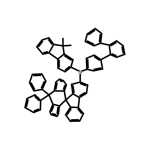 CC1(C)c2ccccc2-c2ccc(N(c3ccc(-c4ccccc4-c4ccccc4)cc3)c3ccc4c(c3)C3(c5ccccc5-4)c4ccccc4C(c4ccccc4)(c4ccccc4)c4ccccc43)cc21